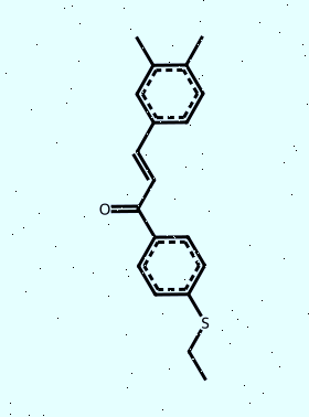 CCSc1ccc(C(=O)C=Cc2ccc(C)c(C)c2)cc1